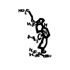 CC(C)(C)[Si](C)(C)OC1CC[C@@]2(C)C(=CC[C@H]3[C@@H]4CC[C@H](OCC(=O)O)[C@@]4(C)CC[C@@H]32)C1